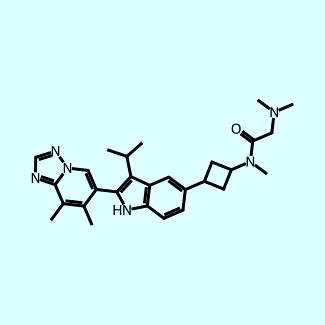 Cc1c(-c2[nH]c3ccc(C4CC(N(C)C(=O)CN(C)C)C4)cc3c2C(C)C)cn2ncnc2c1C